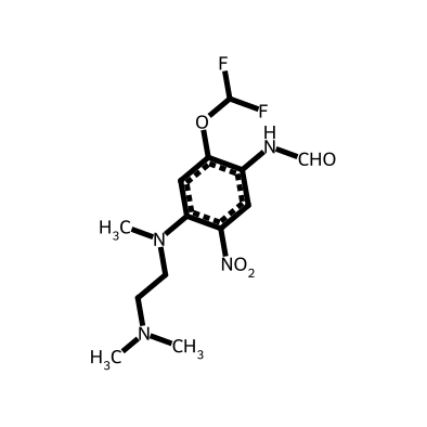 CN(C)CCN(C)c1cc(OC(F)F)c(NC=O)cc1[N+](=O)[O-]